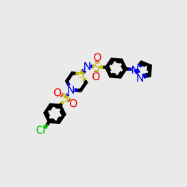 O=S(=O)(N=S1CCN(S(=O)(=O)c2ccc(Cl)cc2)CC1)c1ccc(-n2cccn2)cc1